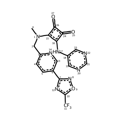 CN(Cc1ccc(-c2noc(C(F)(F)F)n2)cn1)c1c(Nc2cncnc2)c(=O)c1=O